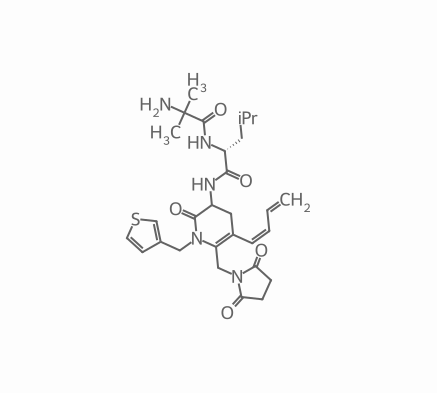 C=C/C=C\C1=C(CN2C(=O)CCC2=O)N(Cc2ccsc2)C(=O)C(NC(=O)[C@@H](CC(C)C)NC(=O)C(C)(C)N)C1